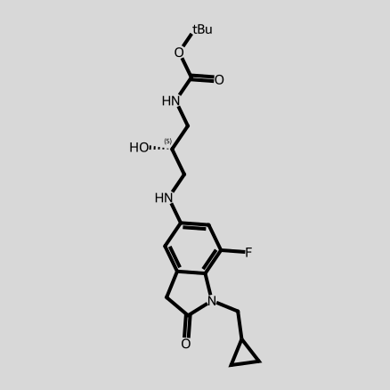 CC(C)(C)OC(=O)NC[C@@H](O)CNc1cc(F)c2c(c1)CC(=O)N2CC1CC1